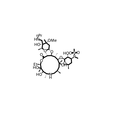 CCCNC[C@]1(O)[C@H](C)O[C@@H](O[C@H]2[C@H](C)[C@@H](O[C@@H]3O[C@H](C)C[C@H](N(C)S(C)(=O)=O)[C@H]3O)[C@](C)(O)C[C@@H](C)CN[C@H](C)[C@@H](O)[C@](C)(O)[C@@H](CC)OC(=O)[C@@H]2C)C[C@@]1(C)OC